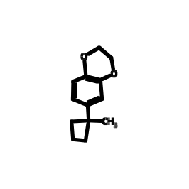 CC1(c2ccc3c(c2)OCCO3)CCC1